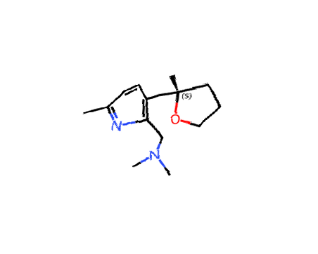 Cc1ccc([C@]2(C)CCCO2)c(CN(C)C)n1